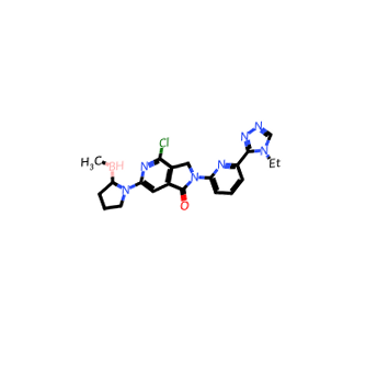 CBC1CCCN1c1cc2c(c(Cl)n1)CN(c1cccc(-c3nncn3CC)n1)C2=O